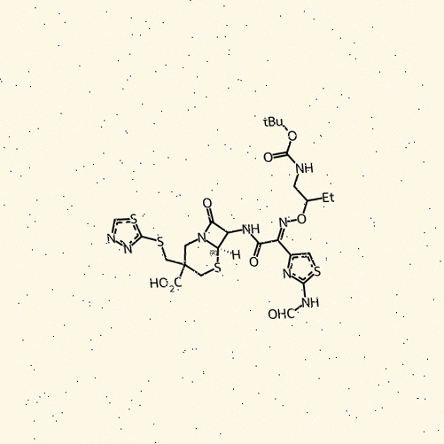 CCC(CNC(=O)OC(C)(C)C)ON=C(C(=O)NC1C(=O)N2CC(CSc3nncs3)(C(=O)O)CS[C@H]12)c1csc(NC=O)n1